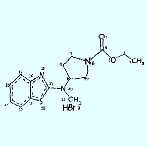 Br.CCOC(=O)N1CCC(N(C)c2nc3ccccc3s2)C1